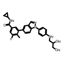 Cc1c(F)cc(C(=O)NC2CC2)cc1-c1ccc2c(cnn2-c2ccc(NCC(O)CO)cc2)c1